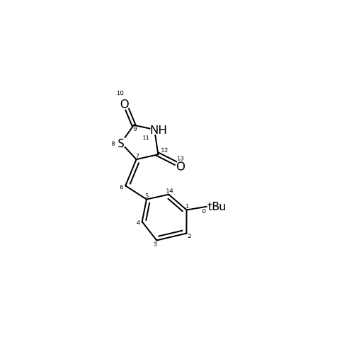 CC(C)(C)c1cccc(C=C2SC(=O)NC2=O)c1